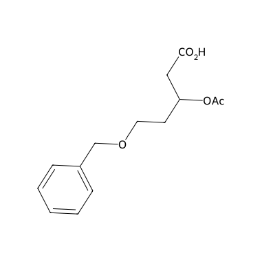 CC(=O)OC(CCOCc1ccccc1)CC(=O)O